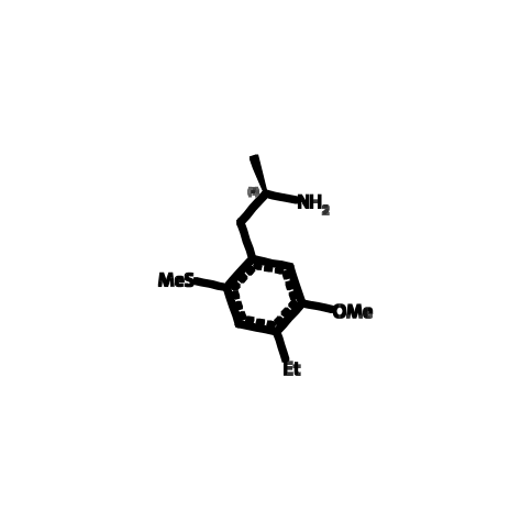 CCc1cc(SC)c(C[C@@H](C)N)cc1OC